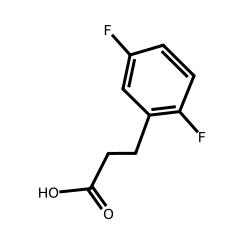 O=C(O)CCc1cc(F)ccc1F